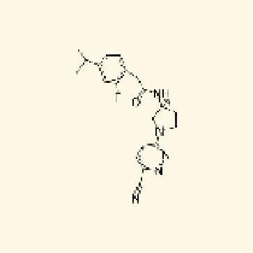 CC(C)c1ccc(CC(=O)N[C@H]2CCN(c3ccc(C#N)nn3)C2)c(F)c1